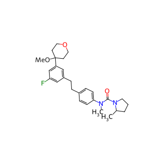 COC1(c2cc(F)cc(CCc3ccc(N(C)C(=O)N4CCCC4C)cc3)c2)CCOCC1